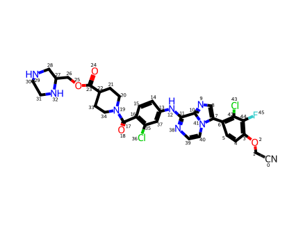 N#CCOc1ccc(-c2cnc3c(Nc4ccc(C(=O)N5CCC(C(=O)OCC6CNCCN6)CC5)c(Cl)c4)nccn23)c(Cl)c1F